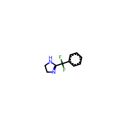 FC(F)(C1=NCCN1)c1ccccc1